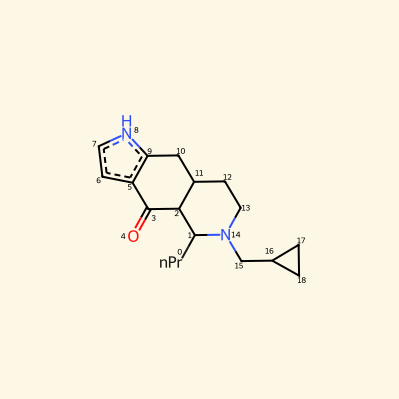 CCCC1C2C(=O)c3cc[nH]c3CC2CCN1CC1CC1